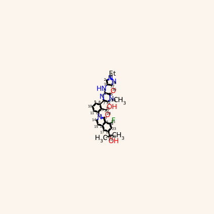 CCn1cc(Nc2nc(-c3cccc(-n4ccc5cc(C(C)(C)O)cc(F)c5c4=O)c3CO)cn(C)c2=O)cn1